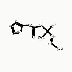 CC(C)C(N=NC(C)(C)C)(NC(=O)Oc1cccs1)C(C)C